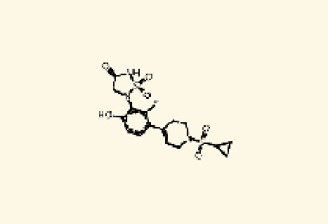 O=C1CN(c2c(O)ccc(C3=CCN(S(=O)(=O)C4CC4)CC3)c2F)S(=O)(=O)N1